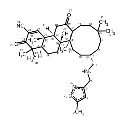 Cc1cc(CNC[C@H]2CCC(C)(C)CCC3C(=O)C[C@@H]4[C@@]5(C)C=C(C#N)C(=O)C(C)(C)[C@@H]5CC[C@@]4(C)[C@]3(C)CC2)no1